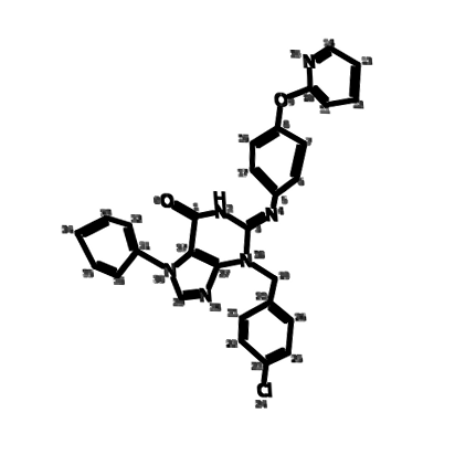 O=c1[nH]/c(=N\c2ccc(Oc3ccccn3)cc2)n(Cc2ccc(Cl)cc2)c2ncn(-c3ccccc3)c12